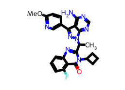 COc1ccc(-c2nn(C(C)c3nc4cccc(F)c4c(=O)n3C3CCC3)c3ncnc(N)c23)cn1